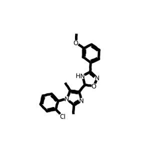 COc1cccc(C2=NOC(c3nc(C)n(-c4ccccc4Cl)c3C)N2)c1